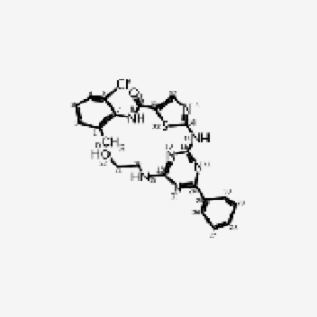 Cc1cccc(Cl)c1NC(=O)c1cnc(Nc2nc(NCCO)nc(-c3ccccc3)n2)s1